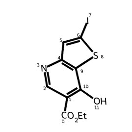 CCOC(=O)c1cnc2cc(I)sc2c1O